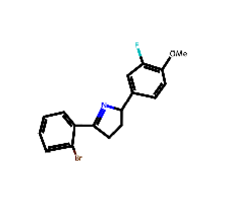 COc1ccc(C2CCC(c3ccccc3Br)=N2)cc1F